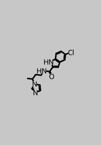 CC(CCNC(=O)c1cc2cc(Cl)ccc2[nH]1)n1ccnc1